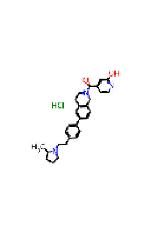 CC1CCCN1CCc1ccc(-c2ccc3c(c2)CCN(C(=O)c2ccnc(O)c2)C3)cc1.Cl